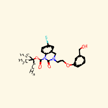 CC(C)(C)OC(=O)N1C(=O)N(CCOc2cccc(CO)c2)Cc2cc(F)ccc21